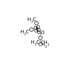 Cc1ccc(OP(=O)(OOC(=O)c2ccc(C(C)(C)C)cc2)Oc2ccc(C)cc2)cc1